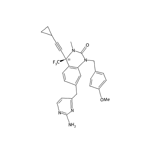 COc1ccc(CN2C(=O)N(C)[C@](C#CC3CC3)(C(F)(F)F)c3ccc(Cc4ccnc(N)n4)cc32)cc1